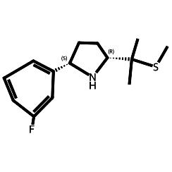 CSC(C)(C)[C@H]1CC[C@@H](c2cccc(F)c2)N1